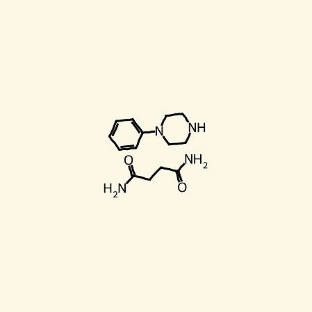 NC(=O)CCC(N)=O.c1ccc(N2CCNCC2)cc1